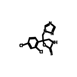 S=C1NCC(Cn2cncn2)(c2ccc(Cl)cc2Cl)O1